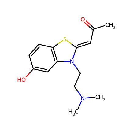 CC(=O)/C=C1\Sc2ccc(O)cc2N1CCN(C)C